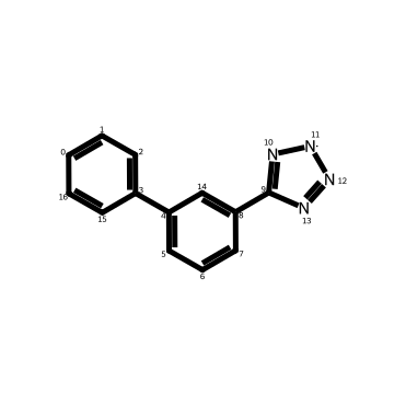 c1ccc(-c2cccc(C3=N[N]N=N3)c2)cc1